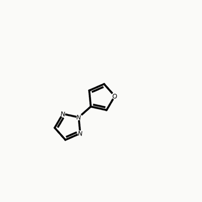 c1cnn(-c2ccoc2)n1